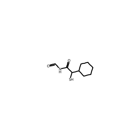 O=CNC(=O)C(S)C1CCCCC1